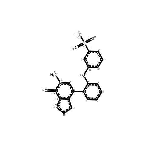 Cn1cc(-c2ccccc2Oc2cccc(S(C)(=O)=O)c2)c2cc[nH]c2c1=O